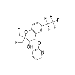 O[C@@H]1[C@@H](Oc2ccccn2)c2cc(C(F)(F)C(F)(F)F)ccc2OC1(CF)CF